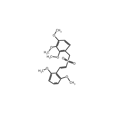 COc1cccc(OC)c1C=CS(=O)(=O)Cc1ccc(OC)c(OC)c1OC